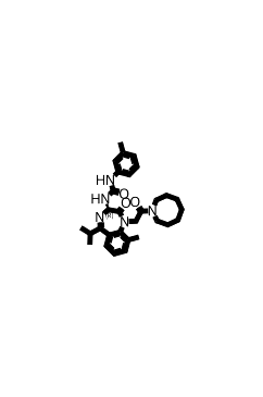 Cc1cccc(NC(=O)N[C@@H]2N=C(C(C)C)c3cccc(C)c3N(CC(=O)N3CCCCCCC3)C2=O)c1